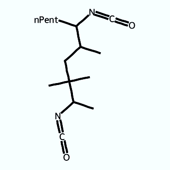 CCCCCC(N=C=O)C(C)CC(C)(C)C(C)N=C=O